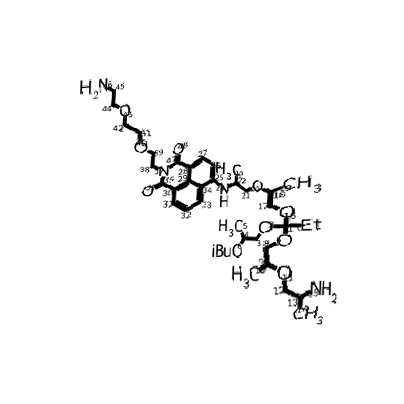 CCC(OCC(C)OCC(C)C)(OCC(C)OCC(C)N)OCC(C)OCC(C)Nc1ccc2c3c(cccc13)C(=O)N(CCOCCOCCN)C2=O